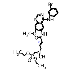 CCOP(=O)(CN(C)C/C=C/C(=O)Nc1cc2c(Nc3cccc(Br)c3)ncnc2cc1OC)OCC